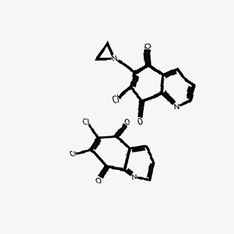 O=C1C(Cl)=C(Cl)C(=O)c2ncccc21.O=C1C(N2CC2)=C(Cl)C(=O)c2ncccc21